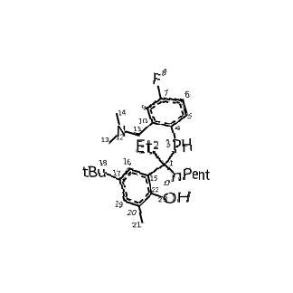 CCCCCC(CC)(Pc1ccc(F)cc1CN(C)C)c1cc(C(C)(C)C)cc(C)c1O